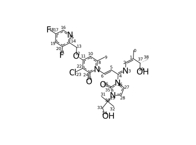 C/C(=C/N=C(\C=C\n1c(C)cc(OCc2ncc(F)cc2F)c(Cl)c1=O)n1ccn(C(C)(C)CO)c1=O)[C@H](C)O